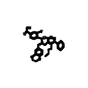 CCCCc1c(-c2ccccc2)nnc(Cl)c1CN(Cc1ccc2c(c1)OCCO2)Cc1ccc(C(=O)O)cc1F